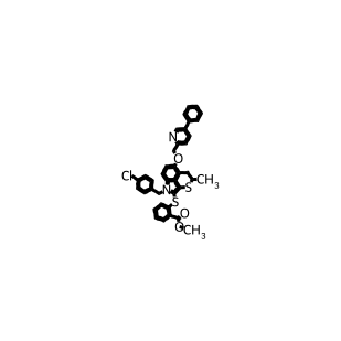 COC(=O)c1ccccc1Sc1c2c3c(c(OCc4ccc(-c5ccccc5)cn4)ccc3n1Cc1ccc(Cl)cc1)CC(C)S2